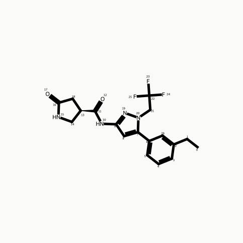 CCc1cccc(-c2cc(NC(=O)[C@H]3CNC(=O)C3)nn2CC(F)(F)F)c1